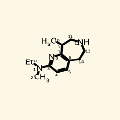 CCN(C)c1ccc2c(n1)C(C)CNCC2